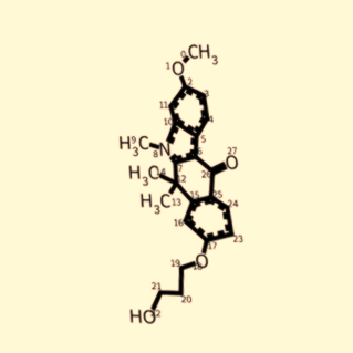 COc1ccc2c3c(n(C)c2c1)C(C)(C)c1cc(OCCCO)ccc1C3=O